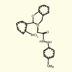 COc1ccc(NNC(=O)CN2Cc3ccccc3OC2c2ccccc2[N+](=O)[O-])cc1